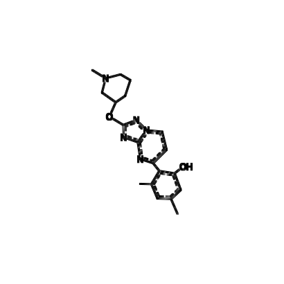 Cc1cc(C)c(-c2ccn3nc(OC4CCCN(C)C4)nc3n2)c(O)c1